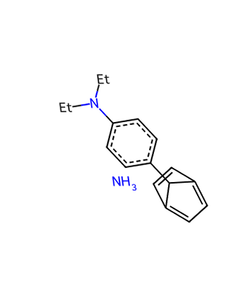 CCN(CC)c1ccc(C2C3=CC=C2C=C3)cc1.N